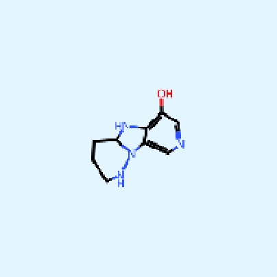 Oc1cncc2c1NC1CCCNN21